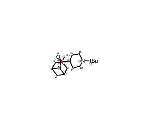 CC(C)N1CC2CC(C1)N2C(=O)C1CCN(C(C)(C)C)CC1